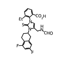 CCc1cccc(C(=O)O)c1-n1cc(CNC=O)n(C2CCc3c(F)cc(F)cc3C2)c1=S